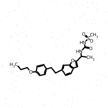 CCCOc1ccc(CCc2ccc3cc(C(C)NC(=O)NS(C)(=O)=O)oc3c2)cc1